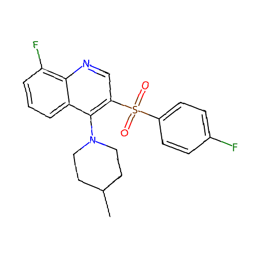 CC1CCN(c2c(S(=O)(=O)c3ccc(F)cc3)cnc3c(F)cccc23)CC1